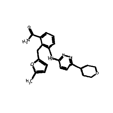 Cc1ccc(Cc2c(Nc3ccc(C4CCOCC4)nn3)cccc2C(N)=O)o1